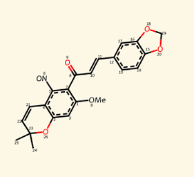 COc1cc2c(c(N=O)c1C(=O)/C=C/c1ccc3c(c1)OCO3)C=CC(C)(C)O2